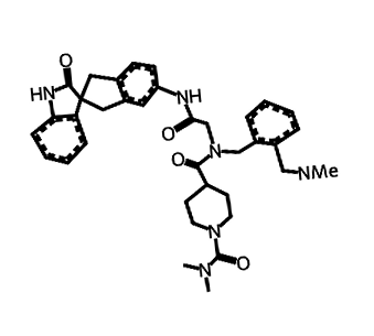 CNCc1ccccc1CN(CC(=O)Nc1ccc2c(c1)CC1(C2)C(=O)Nc2ccccc21)C(=O)C1CCN(C(=O)N(C)C)CC1